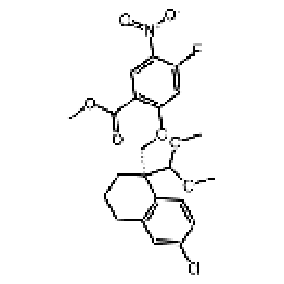 COC(=O)c1cc([N+](=O)[O-])c(F)cc1OC[C@@]1(C(OC)OC)CCCc2cc(Cl)ccc21